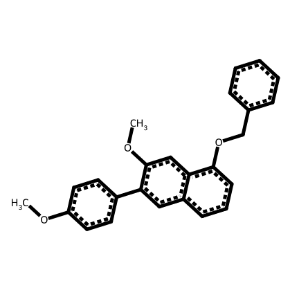 COc1ccc(-c2cc3cccc(OCc4ccccc4)c3cc2OC)cc1